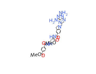 COC(=O)c1ccc(C(=O)NCCC[C@H](NC(=O)c2ccc3c(c2)CCN3Cc2cnc3nc(N)nc(N)c3n2)C(=O)OC)cc1